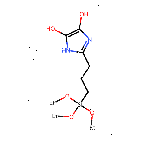 CCO[Si](CCCc1nc(O)c(O)[nH]1)(OCC)OCC